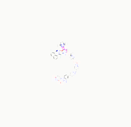 C#Cc1c(F)ccc2cccc(-c3ncc4c(N5C[C@H]6CC[C@@H](C5)N6C(=O)OC(C)(C)C)nc(OC[C@]56CCCN5[C@H](COC(=O)N5CCC(CN7CCC(c8cc9c(cc8F)n(C8CCC(=O)NC8=O)c(=O)n9C)CC7)CC5)CC6)nc4c3F)c12